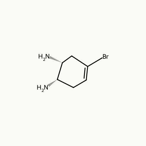 N[C@@H]1CC(Br)=CC[C@@H]1N